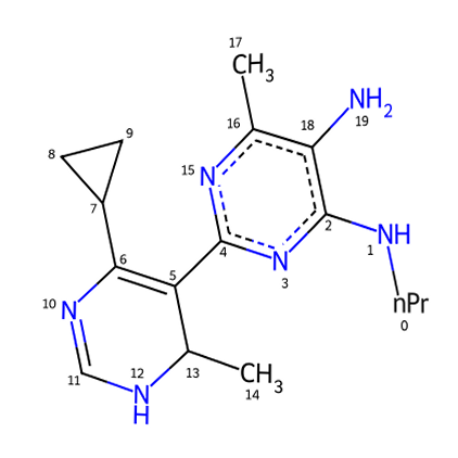 CCCNc1nc(C2=C(C3CC3)N=CNC2C)nc(C)c1N